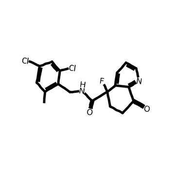 Cc1cc(Cl)cc(Cl)c1CNC(=O)C1(F)CCC(=O)c2ncccc21